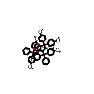 COc1ccc(C(CC(O)C(C(S)C(c2ccccc2)(c2ccc(OC)cc2)c2ccc(OC)cc2)C(c2ccccc2)(c2ccc(OC)cc2)c2ccc(OC)cc2)(c2ccccc2)c2ccc(OC)cc2)cc1